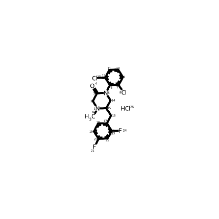 CN1CC(=O)N(c2c(Cl)cccc2Cl)CC1Cc1ccc(F)cc1F.Cl